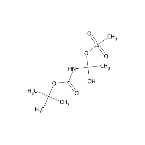 CC(C)(C)OC(=O)NC(C)(O)OS(C)(=O)=O